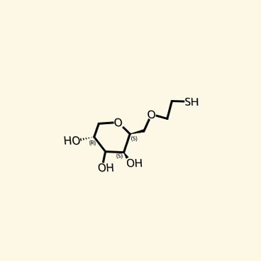 OC1[C@H](O)CO[C@@H](COCCS)[C@H]1O